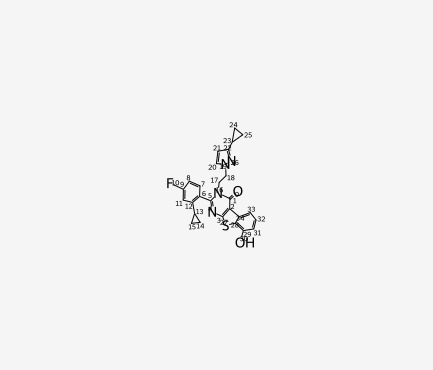 O=c1c2c(nc(-c3ccc(F)cc3C3CC3)n1CCn1ccc(C3CC3)n1)sc1c(O)cccc12